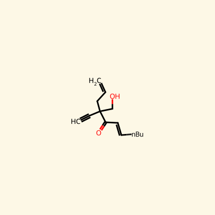 C#CC(CO)(CC=C)C(=O)C=CCCCC